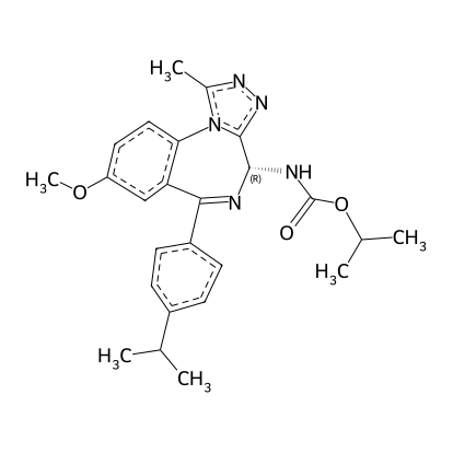 COc1ccc2c(c1)C(c1ccc(C(C)C)cc1)=N[C@@H](NC(=O)OC(C)C)c1nnc(C)n1-2